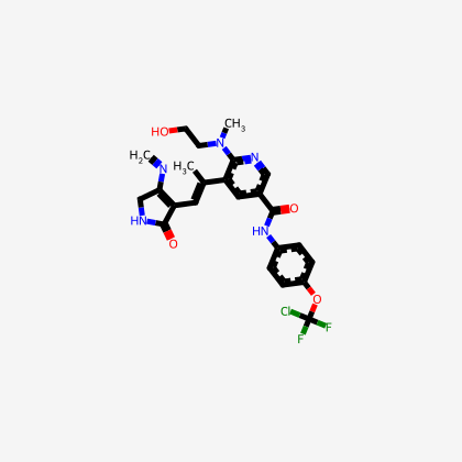 C=NC1=C(/C=C(\C)c2cc(C(=O)Nc3ccc(OC(F)(F)Cl)cc3)cnc2N(C)CCO)C(=O)NC1